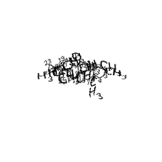 CC1(C)CC[C@]2(C)CC[C@]3(C)C(=CC(=O)[C@@H]4[C@@]5(C)CCC(C6CC6)C(C)(C)C5CC[C@]43C)[C@H]2C1